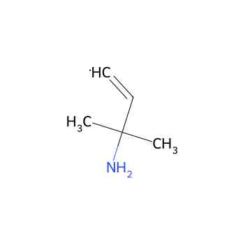 [CH]=CC(C)(C)N